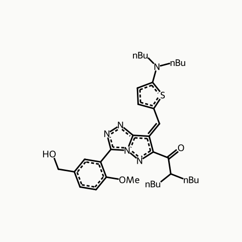 CCCCC(CCCC)C(=O)c1nn2c(-c3cc(CO)ccc3OC)nnc2/c1=C\c1ccc(N(CCCC)CCCC)s1